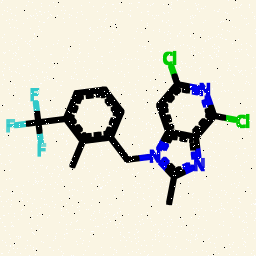 Cc1c(Cn2c(C)nc3c(Cl)nc(Cl)cc32)cccc1C(F)(F)F